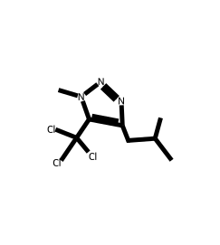 CC(C)Cc1nnn(C)c1C(Cl)(Cl)Cl